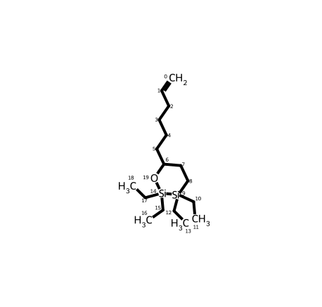 C=CCCCCC1CC[Si](CC)(CC)[Si](CC)(CC)O1